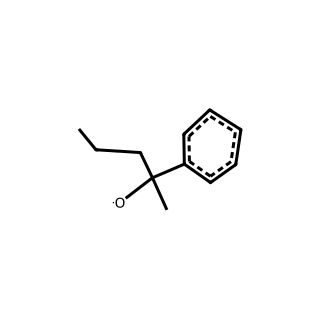 CCCC(C)([O])c1ccccc1